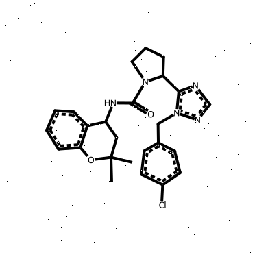 CC1(C)CC(NC(=O)N2CCCC2c2ncnn2Cc2ccc(Cl)cc2)c2ccccc2O1